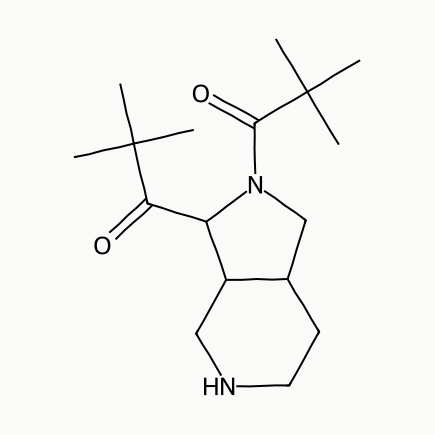 CC(C)(C)C(=O)C1C2CNCCC2CN1C(=O)C(C)(C)C